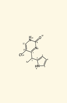 CC(c1ccc[nH]1)c1nc(=O)[nH]cc1Cl